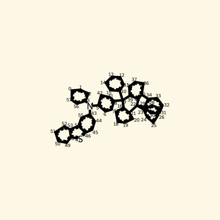 c1ccc(N(c2ccc(C3(c4ccccc4)c4ccccc4C4(c5ccccc5)c5ccccc5-c5cccc3c54)cc2)c2ccc3sc4ccccc4c3c2)cc1